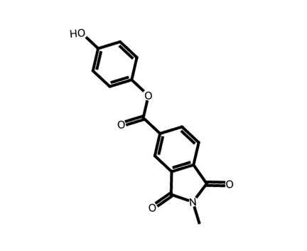 CN1C(=O)c2ccc(C(=O)Oc3ccc(O)cc3)cc2C1=O